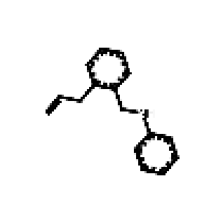 C=CCc1ccccc1CNc1ccccc1